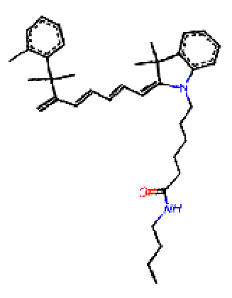 C=C(/C=C/C=C/C=C1/N(CCCCCC(=O)NCCCC)c2ccccc2C1(C)C)C(C)(C)c1ccccc1C